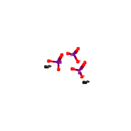 O=[PH]([O-])[O-].O=[PH]([O-])[O-].O=[PH]([O-])[O-].[Ga+3].[Ga+3]